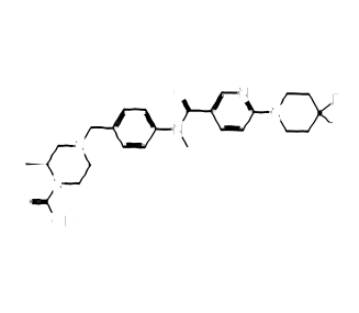 C[C@H]1CN(Cc2ccc(N(C)C(=O)c3ccc(N4CCC(F)(F)CC4)nc3)cc2)CCN1C(=O)O